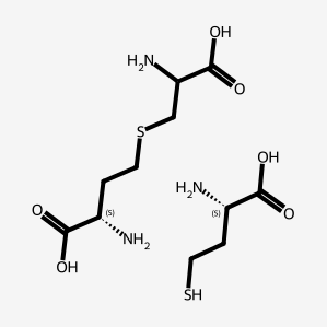 NC(CSCC[C@H](N)C(=O)O)C(=O)O.N[C@@H](CCS)C(=O)O